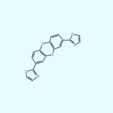 c1coc(-c2ccc3c(c2)Sc2cc(-c4ncco4)ccc2S3)n1